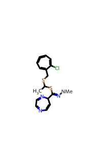 CN/N=C(\SC(C)SCC1=CC=C=CC=C1Cl)C1C=CN=CC=N1